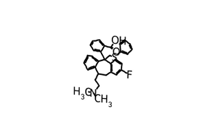 CN(C)CCC1Cc2cc(F)ccc2C(CSc2ccccc2)(c2ccccc2C(=O)O)c2ccccc21